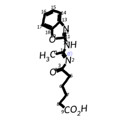 C/C(=N\C(=O)CCCCC(=O)O)Nc1nc2ccccc2o1